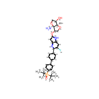 CC(C)(C)P(=O)(c1ccc(-c2ccc(-c3nc4cc(O[C@@H]5CO[C@@H]6[C@H](O)CO[C@@]65N)[nH]c4cc3F)cc2)cc1)C(C)(C)C